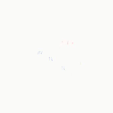 CCC(O)c1c(F)c(Cl)nc2c1c(=O)cc(Nc1ccccc1)n2-c1ccccc1